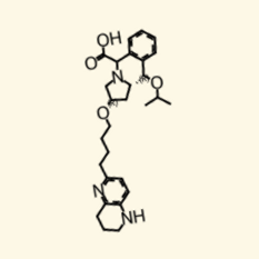 CC(C)O[C@H](C)c1ccccc1C(C(=O)O)N1CC[C@@H](OCCCCc2ccc3c(n2)CCCN3)C1